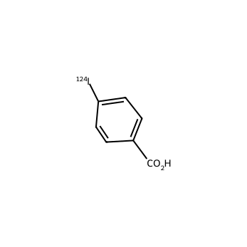 O=C(O)c1ccc([124I])cc1